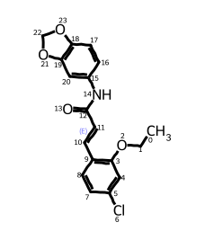 CCOc1cc(Cl)ccc1/C=C/C(=O)Nc1ccc2c(c1)OCO2